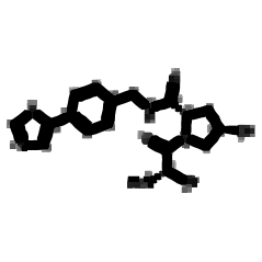 CN[C@H](C(=O)N1C[C@H](O)C[C@H]1C(=O)NCc1ccc(-c2cncs2)cc1)C(C)C